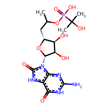 CC(C[C@H]1O[C@@H](n2c(=O)[nH]c3c(=O)[nH]c(N)nc32)[C@H](O)[C@@H]1O)OP(=O)(O)C(C)(C)O